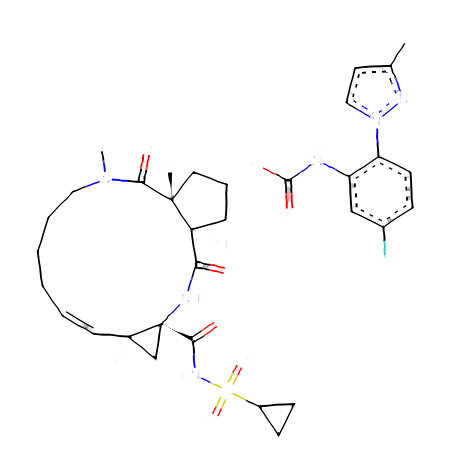 Cc1ccn(-c2ccc(F)cc2NC(=O)O[C@@H]2C[C@H]3C(=O)N[C@]4(C(=O)NS(=O)(=O)C5CC5)C[C@H]4/C=C\CCCCN(C)C(=O)[C@@H]3C2)n1